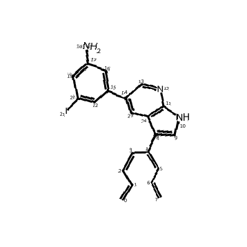 C=C/C=C\C(=C/C=C)c1c[nH]c2ncc(-c3cc(N)cc(I)c3)cc12